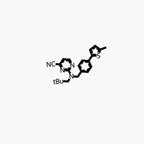 Cc1ccc(-c2ccc(CN(CC(C)(C)C)c3nccc(C#N)n3)cc2)s1